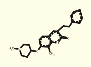 Cc1c(OC2CCN(C)CC2)ccc2cc(CCc3ccccc3)c(=O)oc12